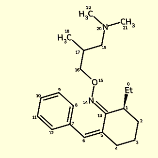 CC[C@H]1CCCC(=Cc2ccccc2)C1=NOCC(C)CN(C)C